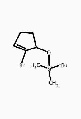 CC(C)(C)[Si](C)(C)OC1CCC=C1Br